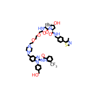 Cc1ncsc1-c1ccc(CNC(=O)[C@@H]2C[C@@H](O)CN2C(=O)[C@@H](NC(=O)COCCOCCN2CCN(Cc3ccc4c(c3)nc(NC(=O)c3cccc(C(F)(F)F)c3)n4-c3ccc(CO)cc3)CC2)C(C)(C)C)cc1